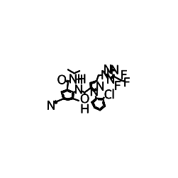 Cc1cc(C#N)cc(C(=O)NC(C)C)c1NC(O)c1cc(Cn2nnc(C(F)(F)F)n2)nn1-c1ccccc1Cl